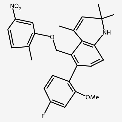 COc1cc(F)ccc1-c1ccc2c(c1COc1cc([N+](=O)[O-])ccc1C)C(C)=CC(C)(C)N2